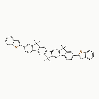 CC1(C)c2cc(-c3cc4ccccc4s3)ccc2-c2cc3c(cc21)-c1cc2c(cc1C3(C)C)-c1ccc(-c3cc4ccccc4s3)cc1C2(C)C